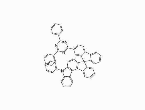 c1ccc(-c2nc(-c3ccccc3)nc(-c3ccc4c(c3)C3(c5ccccc5-4)c4ccccc4-c4c3ccc3c4c4ccccc4n3-c3ccccc3)n2)cc1